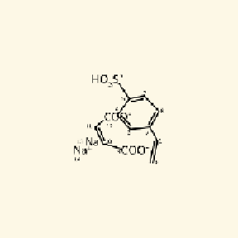 C=Cc1ccc(S(=O)(=O)O)cc1.O=C([O-])/C=C\C(=O)[O-].[Na+].[Na+]